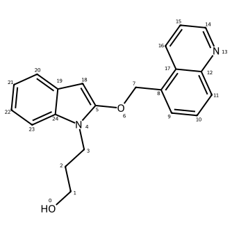 OCCCn1c(OCc2cccc3ncccc23)cc2ccccc21